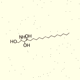 CCCCCCCCCCCCCCC(O)[C@@H](O)C(N)CO